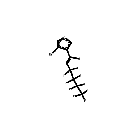 FC(F)(F)C(F)(F)C(F)(F)C(F)(F)C=C(I)c1cscc1Br